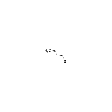 C=CC=C[Si]